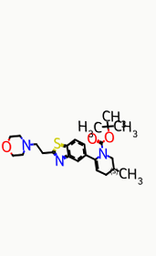 C[C@H]1CC=C(c2ccc3sc(CCN4CCOCC4)nc3c2)N(C(=O)OC(C)(C)C)C1